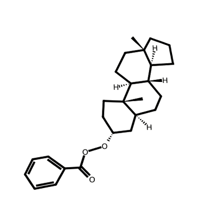 C[C@@]12CCC[C@H]1[C@@H]1CC[C@H]3C[C@H](OOC(=O)c4ccccc4)CC[C@]3(C)[C@H]1CC2